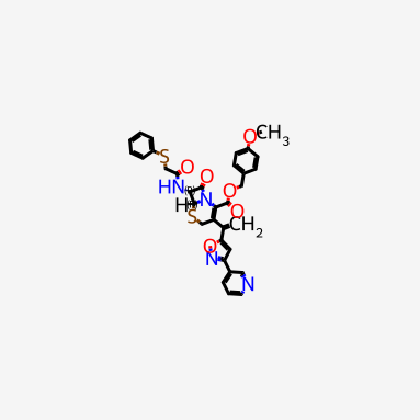 C=C(C1=C(C(=O)OCc2ccc(OC)cc2)N2C(=O)[C@@H](NC(=O)CSc3ccccc3)[C@H]2SC1)c1cc(-c2cccnc2)no1